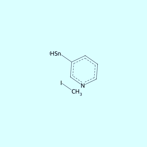 CI.[SnH][c]1cccnc1